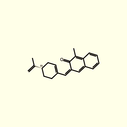 C=C(C)[C@@H]1CC=C(C=C2C=c3ccccc3=C(C)C2=O)CC1